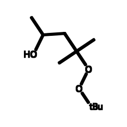 CC(O)CC(C)(C)OOC(C)(C)C